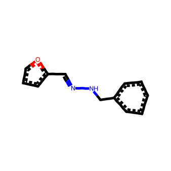 C(=NNCc1ccccc1)c1ccco1